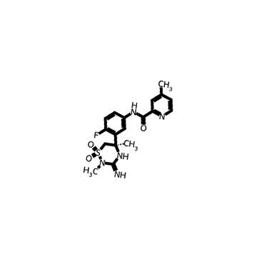 Cc1ccnc(C(=O)Nc2ccc(F)c([C@]3(C)CS(=O)(=O)N(C)C(=N)N3)c2)c1